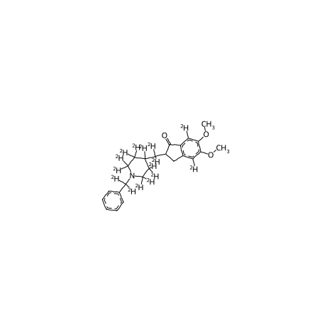 [2H]c1c2c(c([2H])c(OC)c1OC)C(=O)C(C([2H])([2H])C1([2H])C([2H])([2H])C([2H])([2H])N(C([2H])([2H])c3ccccc3)C([2H])([2H])C1([2H])[2H])C2